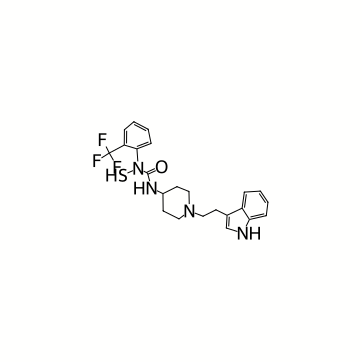 O=C(NC1CCN(CCc2c[nH]c3ccccc23)CC1)N(S)c1ccccc1C(F)(F)F